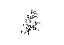 CNc1nc(NC2CCC(C(=O)NCc3ccccc3C(F)(F)F)CC2)nc(N(C)CCN(C)C)n1